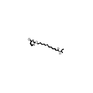 CCC(C)NC(=O)C=CC=CCCCCCCCOc1nccc(Cl)n1